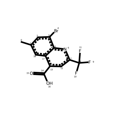 Cc1cc(Br)c2nc(C(F)(F)F)cc(C(=O)O)c2c1